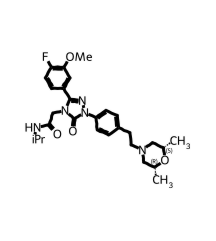 COc1cc(-c2nn(-c3ccc(CCN4C[C@@H](C)O[C@@H](C)C4)cc3)c(=O)n2CC(=O)NC(C)C)ccc1F